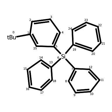 CC(C)(C)c1cccc([Si](c2ccccc2)(c2ccccc2)c2ccccc2)c1